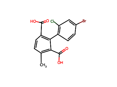 Cc1ccc(C(=O)O)c(-c2ccc(Br)cc2Cl)c1C(=O)O